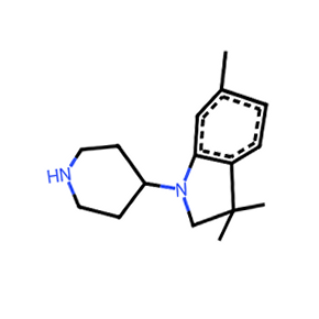 Cc1ccc2c(c1)N(C1CCNCC1)CC2(C)C